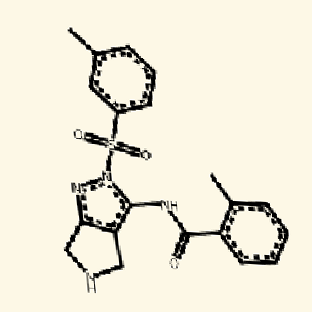 Cc1cccc(S(=O)(=O)n2nc3c(c2NC(=O)c2ccccc2C)CNC3)c1